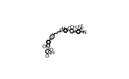 CC1(C)CN(c2ccc(C#N)c(C(F)(F)F)c2)CC[C@H]1c1ccc(OCCCCN2CCN(c3ccc4c(c3)CN(C3CCC(=O)NC3=O)C4=O)CC2)cc1